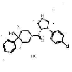 C[C@@H]1CN(C(=O)[C@@H]2CNC[C@H]2c2ccc(Cl)cc2)C[C@H](C)[C@]1(O)c1ccccc1.Cl